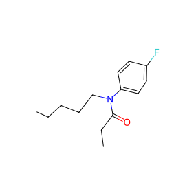 CCCCCN(C(=O)CC)c1ccc(F)cc1